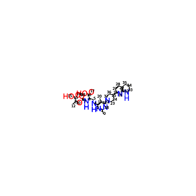 Cc1nc(NCC(NC(=O)O[C@@H](C)C(=O)O)C(=O)O)c(C)c(N2CCC(c3ccc4c(n3)NCCC4)CC2)n1